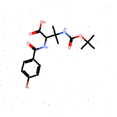 CC(C)(C)OC(=O)NC(C)(C)C(NC(=O)c1ccc(Br)cc1)C(=O)O